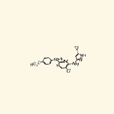 O=C(O)c1ccc(Nc2ncc(Cl)c(Nc3cc(C4CC4)[nH]n3)n2)cc1